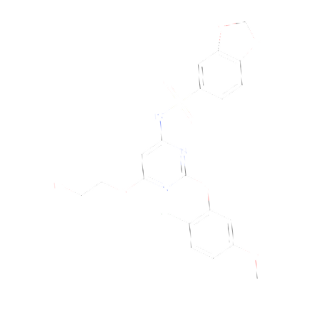 COc1ccc(Cl)c(Oc2nc(NS(=O)(=O)c3ccc4c(c3)OCO4)cc(OCCO)n2)c1